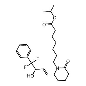 CC(C)OC(=O)CCCCCCN1C(=O)CCC[C@@H]1C=C[C@@H](O)C(F)(F)c1ccccc1